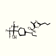 CCCc1nc(C)c(S(=O)(=O)N(CC)C2CCC(C(O)(C(F)(F)F)C(F)(F)F)CC2)s1